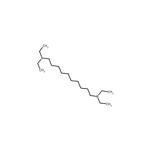 CCB(CC)CCCCCCCCCCB(CC)CC